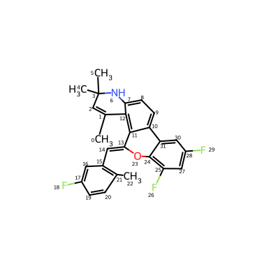 CC1=CC(C)(C)Nc2ccc3c(c21)C(=Cc1cc(F)ccc1C)Oc1c(F)cc(F)cc1-3